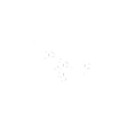 Cc1ccccc1[C@@H]1CCCN1C1CC2(CCN(c3ccc(C(=O)NS(=O)(=O)c4ccc(NC[C@H]5CC[C@@](C)(O)CC5)c([N+](=O)[O-])c4)c(N4c5cc6cc[nH]c6nc5O[C@@H]5COC[C@H]54)c3)CC2)C1